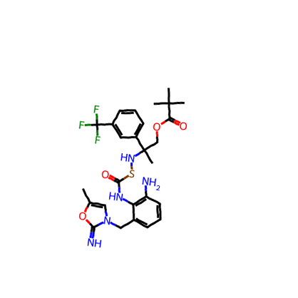 Cc1cn(Cc2cccc(N)c2NC(=O)SNC(C)(COC(=O)C(C)(C)C)c2cccc(C(F)(F)F)c2)c(=N)o1